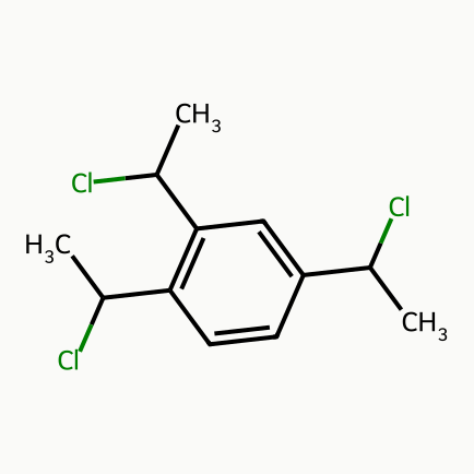 CC(Cl)c1ccc(C(C)Cl)c(C(C)Cl)c1